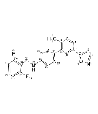 Cc1ccc(-c2ccno2)cc1-c1ccc(NCc2c(F)cccc2F)cn1